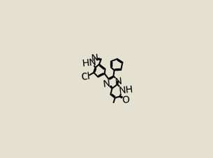 Cc1cc2nc(-c3cc(Cl)c4[nH]ncc4c3)c(-c3ccccc3)nc2[nH]c1=O